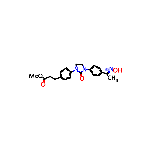 COC(=O)CCc1ccc(N2CCN(c3ccc(/C(C)=N/O)cc3)C2=O)cc1